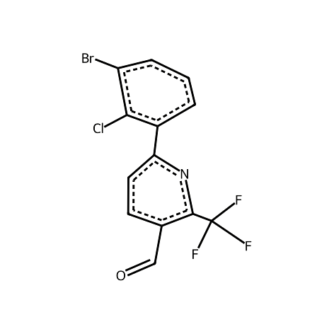 O=Cc1ccc(-c2cccc(Br)c2Cl)nc1C(F)(F)F